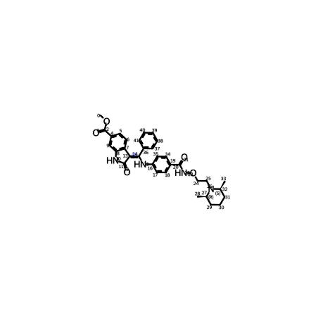 COC(=O)c1ccc2c(c1)NC(=O)/C2=C(\Nc1ccc(C(=O)NOCCN2[C@H](C)CCC[C@@H]2C)cc1)c1ccccc1